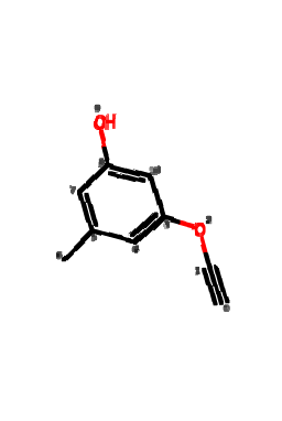 C#COc1cc(C)cc(O)c1